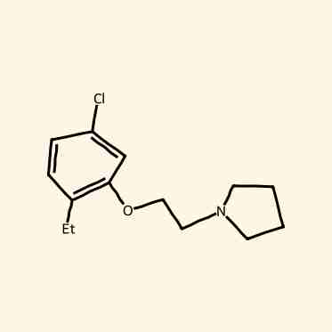 CCc1ccc(Cl)cc1OCCN1CCCC1